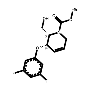 CC(C)(C)OC(=O)N1CC=C[C@H](Oc2cc(F)cc(F)c2)[C@@H]1CO